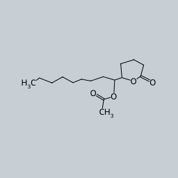 CCCCCCCCC(OC(C)=O)C1CCCC(=O)O1